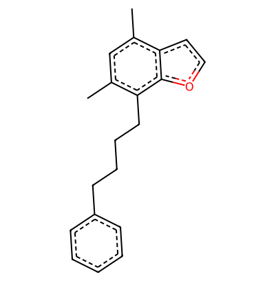 Cc1cc(C)c2ccoc2c1CCCCc1ccccc1